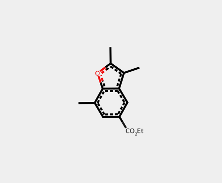 CCOC(=O)c1cc(C)c2oc(C)c(C)c2c1